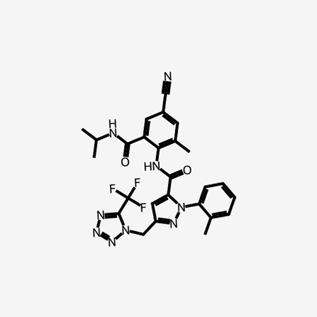 Cc1ccccc1-n1nc(Cn2nnnc2C(F)(F)F)cc1C(=O)Nc1c(C)cc(C#N)cc1C(=O)NC(C)C